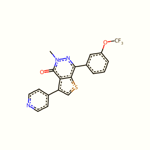 Cn1nc(-c2cccc(OC(F)(F)F)c2)c2scc(-c3ccncc3)c2c1=O